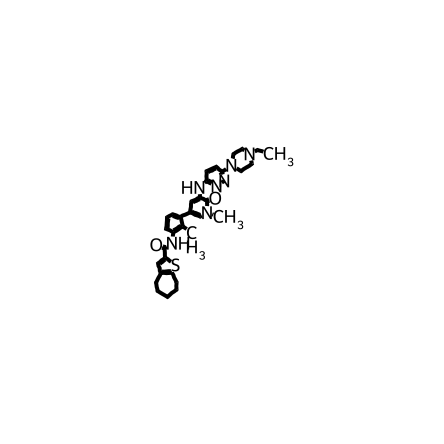 CCN1CCN(c2ccc(Nc3cc(-c4cccc(NC(=O)c5cc6c(s5)CCCCC6)c4C)cn(C)c3=O)nn2)CC1